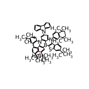 CC(C)(C)c1ccc(-c2cc(C(C)(C)C)ccc2N2c3ccc(C(C)(C)C)cc3B3c4sc5cc(C(C)(C)C)ccc5c4N(c4ccc5c(c4)C(C)(C)CCC5(C)C)c4cc(-n5c6ccccc6c6ccccc65)cc2c43)cc1